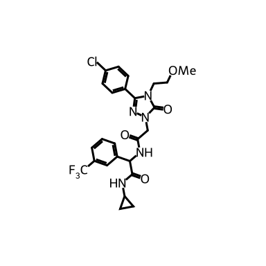 COCCn1c(-c2ccc(Cl)cc2)nn(CC(=O)NC(C(=O)NC2CC2)c2cccc(C(F)(F)F)c2)c1=O